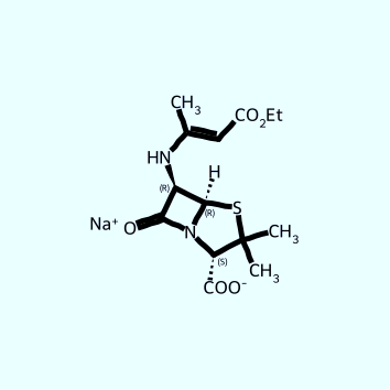 CCOC(=O)C=C(C)N[C@@H]1C(=O)N2[C@@H]1SC(C)(C)[C@@H]2C(=O)[O-].[Na+]